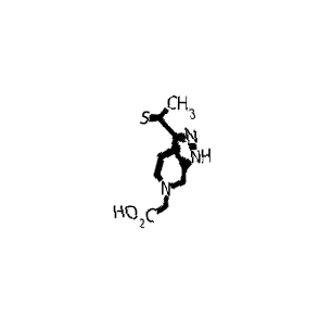 CC(=S)c1n[nH]c2c1CCN(CC(=O)O)C2